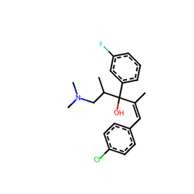 CC(=Cc1ccc(Cl)cc1)C(O)(c1cccc(F)c1)C(C)CN(C)C